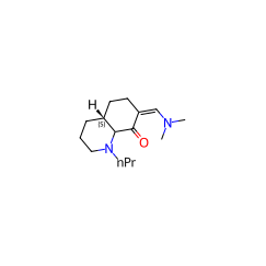 CCCN1CCC[C@@H]2CCC(=CN(C)C)C(=O)C21